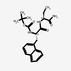 CC[C@H](NC(=O)[C@H](Cc1cccc2ccccc12)NC(=O)OC(C)(C)C)C(N)=O